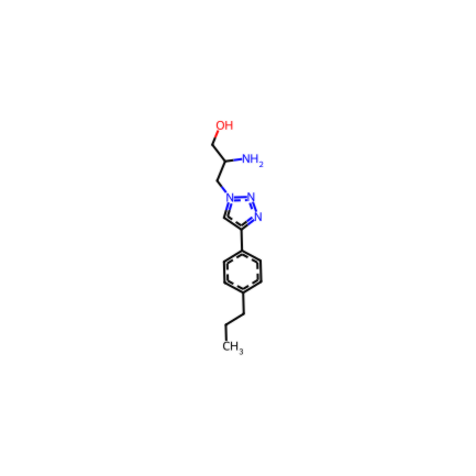 CCCc1ccc(-c2cn(CC(N)CO)nn2)cc1